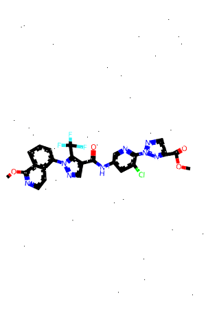 COC(=O)c1cnn(-c2ncc(NC(=O)c3cnn(-c4cccc5c(OC)nccc45)c3C(F)(F)F)cc2Cl)n1